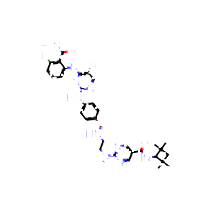 CN(CCNSc1ccc(Nc2ncc(Br)c(Nc3cccc(F)c3C(N)=O)n2)cc1)c1ncc(C(=O)NC2C(C)(C)CC2(C)C)cn1